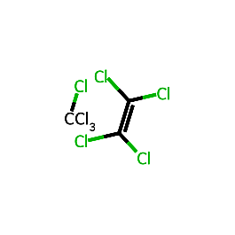 ClC(Cl)(Cl)Cl.ClC(Cl)=C(Cl)Cl